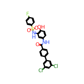 O=C(Nc1ccc(O)c(NS(=O)(=O)c2ccc(F)cc2)c1)c1ccc(-c2cc(Cl)cc(Cl)c2)cc1